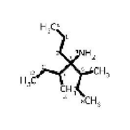 CCCC(N)(C(C)CC)C(C)CC